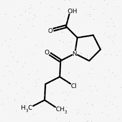 CC(C)CC(Cl)C(=O)N1CCCC1C(=O)O